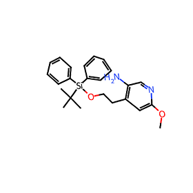 COc1cc(CCO[Si](c2ccccc2)(c2ccccc2)C(C)(C)C)c(N)cn1